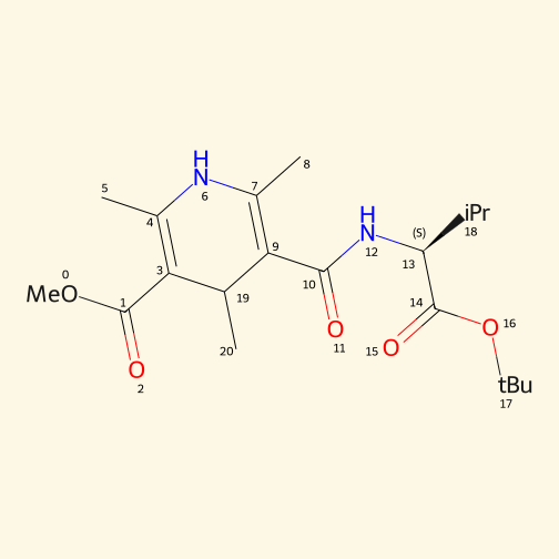 COC(=O)C1=C(C)NC(C)=C(C(=O)N[C@H](C(=O)OC(C)(C)C)C(C)C)C1C